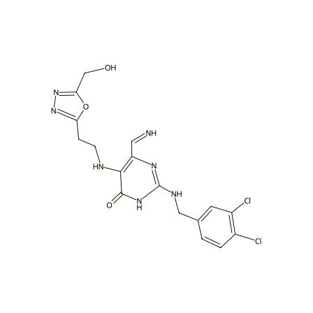 N=Cc1nc(NCc2ccc(Cl)c(Cl)c2)[nH]c(=O)c1NCCc1nnc(CO)o1